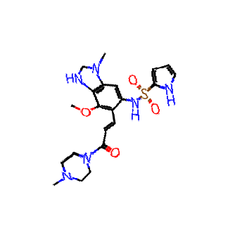 COc1c(C=CC(=O)N2CCN(C)CC2)c(NS(=O)(=O)c2ccc[nH]2)cc2c1NCN2C